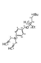 C#CCN(CC#C)c1ccc(COC(C)(CC)CCC(C)(C)C)cc1